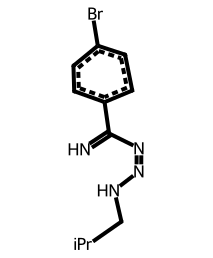 CC(C)CN/N=N\C(=N)c1ccc(Br)cc1